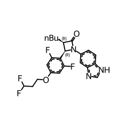 CCCC[C@H]1C(=O)N(c2ccc3[nH]cnc3c2)[C@H]1c1c(F)cc(OCCC(F)F)cc1F